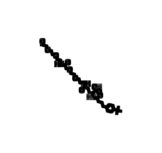 CC(C)(C)c1ccc(CCCC(=O)N[C@@H](CCC(=O)NCCOCCOCC(=O)NCCOCCOC[C]=O)C(=O)O)cc1